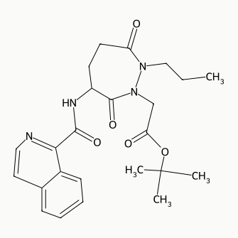 CCCN1C(=O)CCC(NC(=O)c2nccc3ccccc23)C(=O)N1CC(=O)OC(C)(C)C